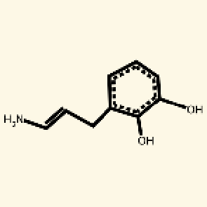 NC=CCc1cccc(O)c1O